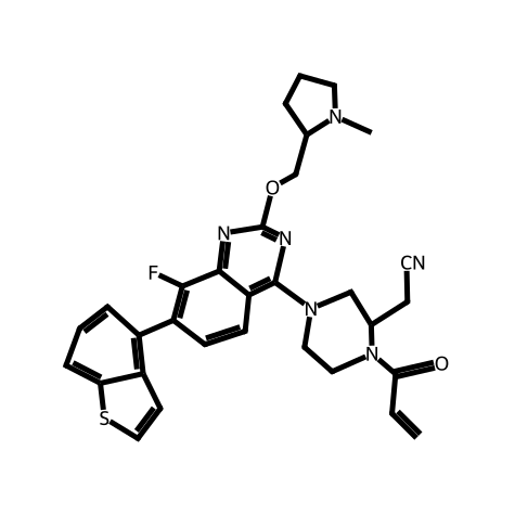 C=CC(=O)N1CCN(c2nc(OCC3CCCN3C)nc3c(F)c(-c4cccc5sccc45)ccc23)CC1CC#N